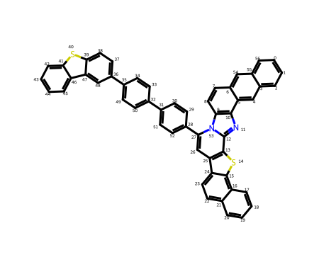 c1ccc2cc3c(ccc4c3nc3c5sc6c7ccccc7ccc6c5cc(-c5ccc(-c6ccc(-c7ccc8sc9ccccc9c8c7)cc6)cc5)n43)cc2c1